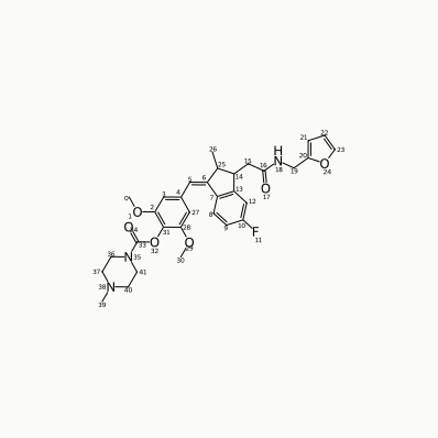 COc1cc(/C=C2\c3ccc(F)cc3C(CC(=O)NCc3ccco3)C2C)cc(OC)c1OC(=O)N1CCN(C)CC1